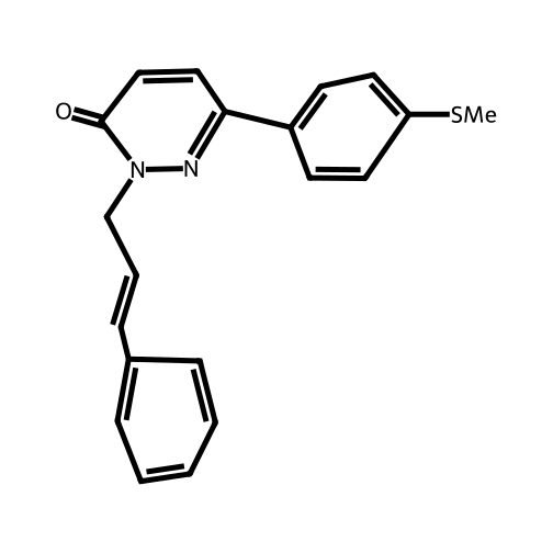 CSc1ccc(-c2ccc(=O)n(CC=Cc3ccccc3)n2)cc1